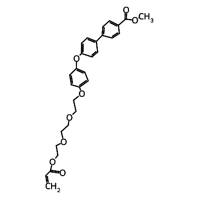 C=CC(=O)OCCOCCOCCOc1ccc(Oc2ccc(-c3ccc(C(=O)OC)cc3)cc2)cc1